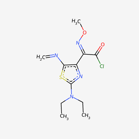 C=Nc1sc(N(CC)CC)nc1C(=NOC)C(=O)Cl